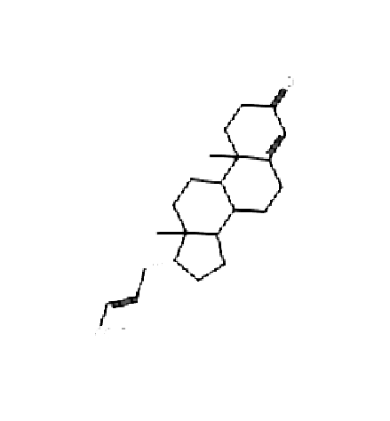 CCOC(=O)/C=C/C[C@H]1CCC2C3CCC4=CC(=O)CCC4(C)C3CCC21C